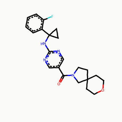 O=C(c1cnc(NC2(c3ccccc3F)CC2)nc1)N1CCC2(CCOCC2)C1